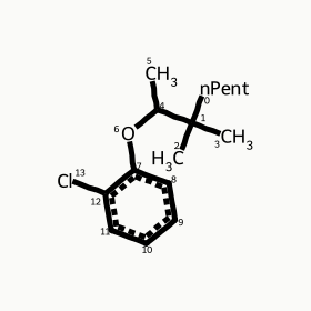 CCCCCC(C)(C)C(C)Oc1ccccc1Cl